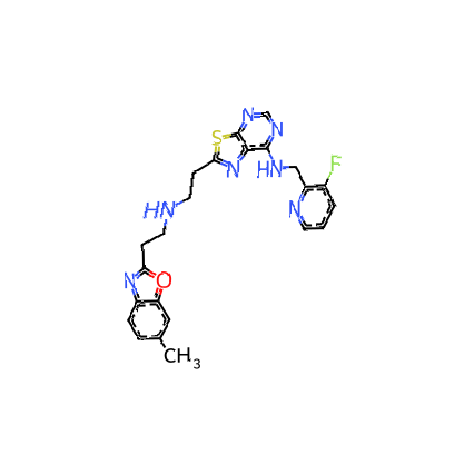 Cc1ccc2nc(CCNCCc3nc4c(NCc5ncccc5F)ncnc4s3)oc2c1